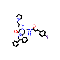 O=C(/C=C/c1ccc(I)cc1)NC[C@@H]1CCN(CC(c2ccccc2)c2ccccc2)C(=O)[C@H](CCCN2CCCC2)N1